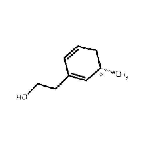 C[C@@H]1C=C(CCO)C=CC1